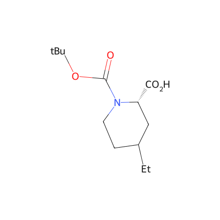 CCC1CCN(C(=O)OC(C)(C)C)[C@H](C(=O)O)C1